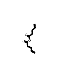 C=CCCC(=O)OC(=O)CCC=C